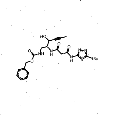 CC#CC(O)C(CNC(=O)OCc1ccccc1)NC(=O)CC(=O)Nc1nnc(C(C)(C)C)s1